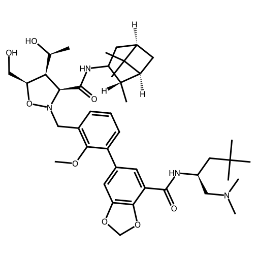 COc1c(CN2O[C@@H](CO)[C@@H]([C@H](C)O)[C@H]2C(=O)NC2C[C@H]3C[C@@H]([C@@H]2C)C3(C)C)cccc1-c1cc2c(c(C(=O)N[C@H](CN(C)C)CC(C)(C)C)c1)OCO2